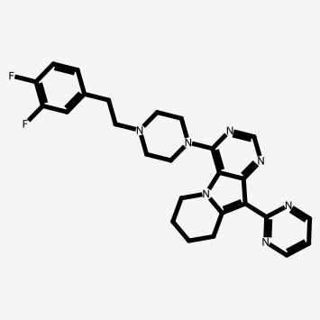 Fc1ccc(CCN2CCN(c3ncnc4c(-c5ncccn5)c5n(c34)CCCC5)CC2)cc1F